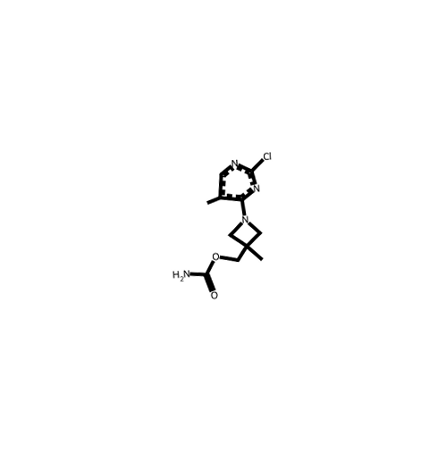 Cc1cnc(Cl)nc1N1CC(C)(COC(N)=O)C1